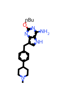 CCCCOc1nc(N)c2[nH]cc(Cc3ccc(C4CCN(C)CC4)cc3)c2n1